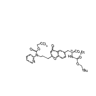 CCOC(=O)[C@H](Cc1ccc2oc(CCCN(C(=O)OCC(Cl)(Cl)Cl)c3ccccn3)cc(=O)c2c1)NC(=O)OCC(C)(C)C